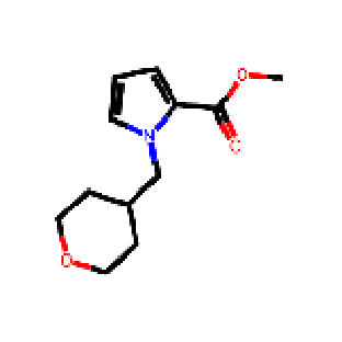 COC(=O)c1cccn1CC1CCOCC1